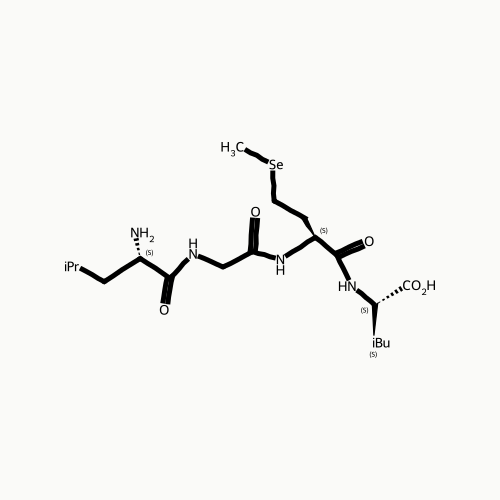 CC[C@H](C)[C@H](NC(=O)[C@H](CC[Se]C)NC(=O)CNC(=O)[C@@H](N)CC(C)C)C(=O)O